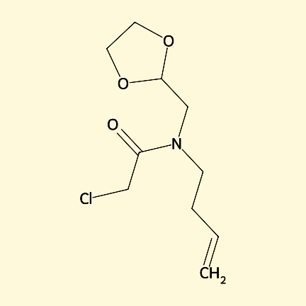 C=CCCN(CC1OCCO1)C(=O)CCl